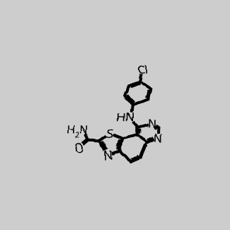 NC(=O)c1nc2ccc3ncnc(Nc4ccc(Cl)cc4)c3c2s1